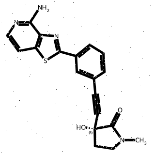 CN1CC[C@@](O)(C#Cc2cccc(-c3nc4c(N)nccc4s3)c2)C1=O